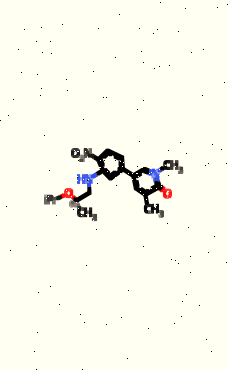 Cc1cc(-c2ccc([N+](=O)[O-])c(NC[C@H](C)OC(C)C)c2)cn(C)c1=O